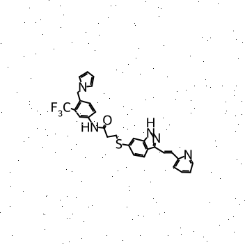 O=C(CCSc1ccc2c(/C=C/c3ccccn3)n[nH]c2c1)Nc1ccc(Cn2cccc2)c(C(F)(F)F)c1